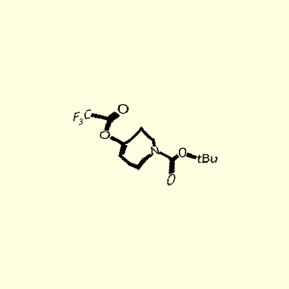 CC(C)(C)OC(=O)N1CC=C(OC(=O)C(F)(F)F)CC1